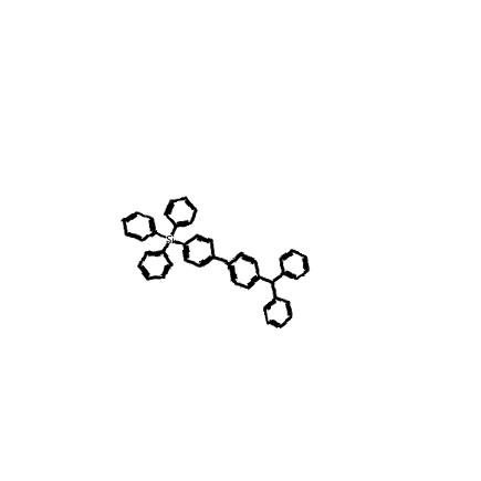 c1ccc(C(c2ccccc2)c2ccc(-c3ccc([Si](c4ccccc4)(c4ccccc4)c4ccccc4)cc3)cc2)cc1